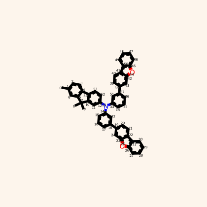 Cc1ccc2c(c1)C(C)(C)c1cc(N(c3cccc(-c4ccc5c(c4)oc4ccccc45)c3)c3cccc(-c4ccc5c(c4)oc4ccccc45)c3)ccc1-2